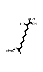 CCCCCCCCC(O)C(O)CCCCCCCC(=O)OCCCCCC